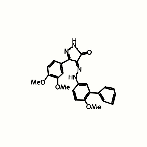 COc1ccc(C2=NNC(=O)/C2=N/Nc2ccc(OC)c(-c3ccccc3)c2)cc1OC